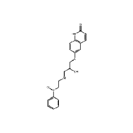 O=c1ccc2cc(OCC(O)CNCC[S+]([O-])c3ccccc3)ccc2[nH]1